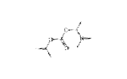 CC(C)OC(=O)OC(C)N(C)C